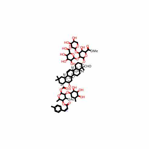 COC(=O)C1OC(O[C@H]2CC[C@]3(C)[C@H]4C=CC5[C@@H]6CC(C)(C)C[C@@H](C(=O)OC7OC(C)C(OC(=O)/C=C\c8ccc(C)cc8)C(OC(C)=O)C7OC7CC(C)C(O)C(O)C7O)C6[C@H](O)C[C@@]5(C)[C@]4(C)CC[C@H]3[C@]2(C)C=O)C(OC2OC(CO)C(O)C(O)C2O)C(OC2OCC(O)C(O)C2O)C1O